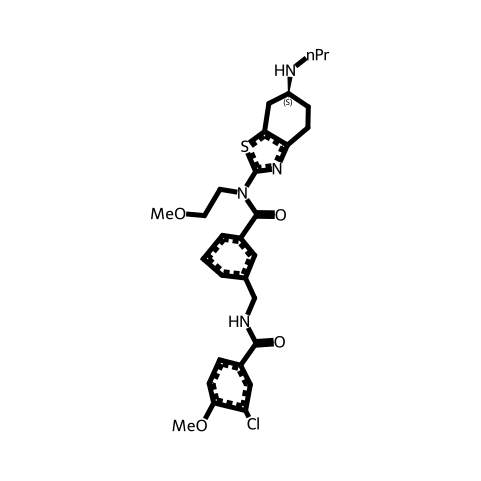 CCCN[C@H]1CCc2nc(N(CCOC)C(=O)c3cccc(CNC(=O)c4ccc(OC)c(Cl)c4)c3)sc2C1